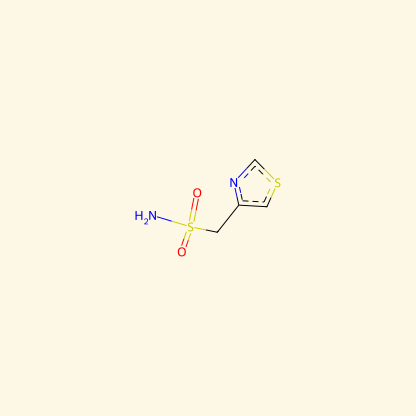 NS(=O)(=O)Cc1cscn1